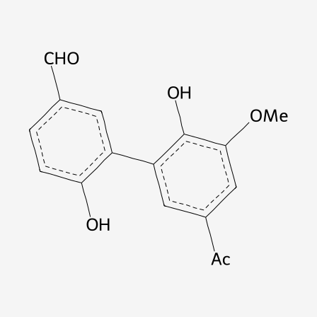 COc1cc(C(C)=O)cc(-c2cc(C=O)ccc2O)c1O